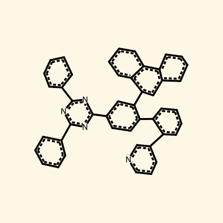 c1ccc(-c2nc(-c3ccccc3)nc(-c3ccc(-c4ccccc4-c4cccnc4)c(-c4cc5ccccc5c5ccccc45)c3)n2)cc1